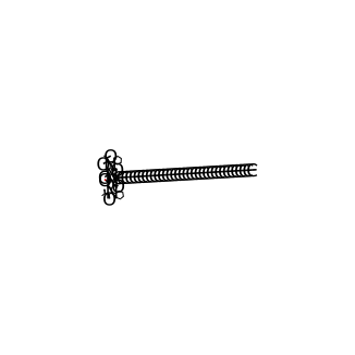 C=C=C=C=C=C=C=C=C=C=C=C=C=C=C=C=C=C=C=C=C=C=C=C=C=C=C=C=C=C=C=C=C=C=C=C(N1C(=O)CC(N(C(=O)C(=C)C)C2CCCCC2)C1=O)N1C(=O)CC(N(C(=O)C(C)=O)C2CCCCC2)C1=O